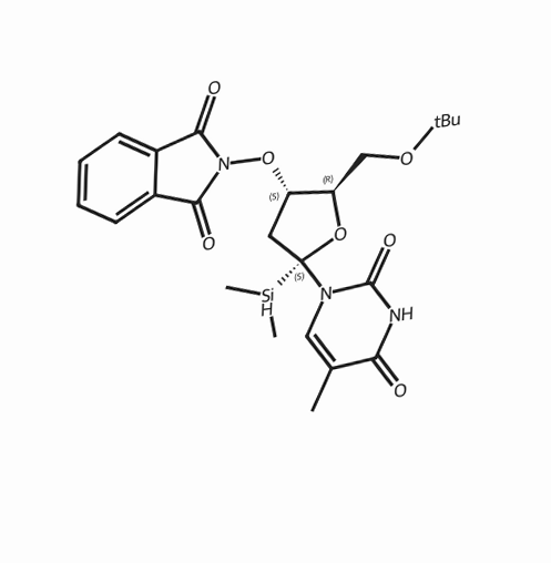 Cc1cn([C@@]2([SiH](C)C)C[C@H](ON3C(=O)c4ccccc4C3=O)[C@@H](COC(C)(C)C)O2)c(=O)[nH]c1=O